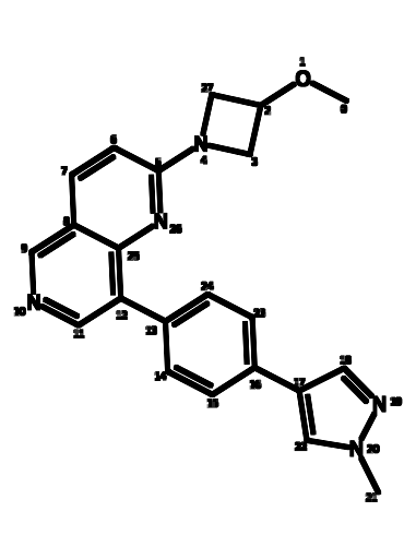 COC1CN(c2ccc3cncc(-c4ccc(-c5cnn(C)c5)cc4)c3n2)C1